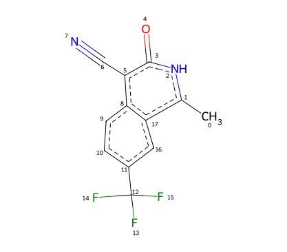 Cc1[nH]c(=O)c(C#N)c2ccc(C(F)(F)F)cc12